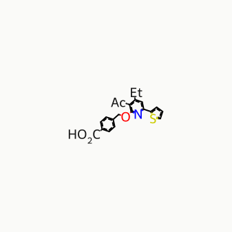 CCc1cc(-c2cccs2)nc(OCc2ccc(C(=O)O)cc2)c1C(C)=O